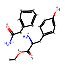 CCOC(=O)C(N)Cc1ccc(O)cc1.NC(=O)Cc1ccccc1